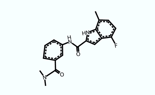 Cc1ccc(F)c2cc(C(=O)Nc3cccc(C(=O)N(C)C)c3)[nH]c12